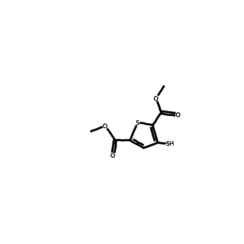 COC(=O)c1cc(S)c(C(=O)OC)s1